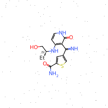 CC[C@@H](CO)Nc1cc[nH]c(=O)c1C(=N)c1csc(C(N)=O)c1